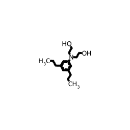 CCCc1cc(CCC)cc(N(CCO)CCO)c1